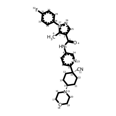 Cc1c(C(=O)Nc2ccc([C@]3(C#N)CC[C@@H](N4CCOCC4)CC3)nc2)cnn1-c1ccc(F)cc1